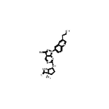 CNC(=O)[C@]1(C)CC[C@@H](Nc2ncc3c(Br)nn(-c4ccc5ncc(CCO)cc5c4)c3n2)C1